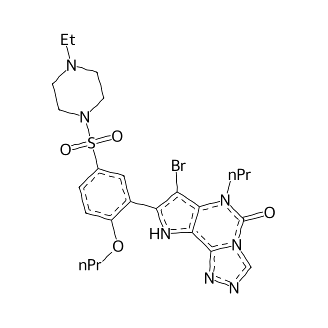 CCCOc1ccc(S(=O)(=O)N2CCN(CC)CC2)cc1-c1[nH]c2c(c1Br)n(CCC)c(=O)n1cnnc21